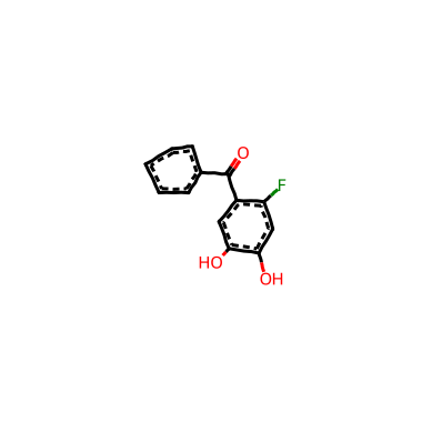 O=C(c1ccccc1)c1cc(O)c(O)cc1F